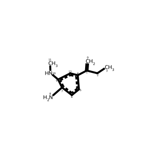 C=C(CC)c1ccc(N)c(NC)c1